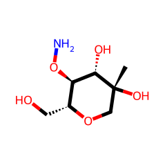 C[C@@]1(O)CO[C@H](CO)[C@@H](ON)[C@@H]1O